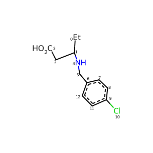 CCC(CC(=O)O)NCc1ccc(Cl)cc1